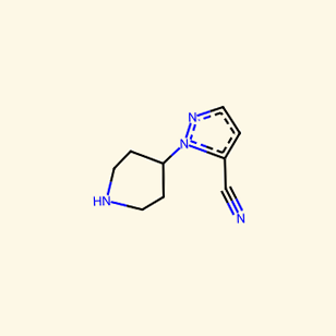 N#Cc1ccnn1C1CCNCC1